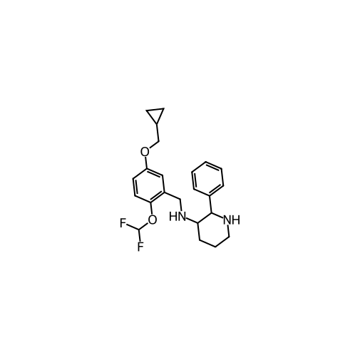 FC(F)Oc1ccc(OCC2CC2)cc1CNC1CCCNC1c1ccccc1